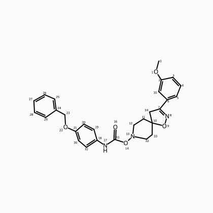 COc1cccc(C2=NOC3(CCN(OC(=O)Nc4ccc(OCc5ccccc5)cc4)CC3)C2)c1